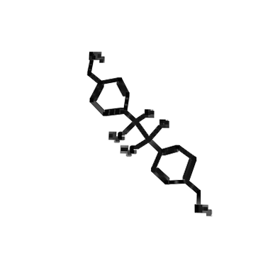 CCC(C)(c1ccc(CN)cc1)C(C)(CC)c1ccc(CN)cc1